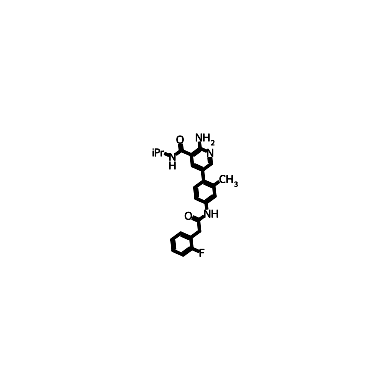 Cc1cc(NC(=O)Cc2ccccc2F)ccc1-c1cnc(N)c(C(=O)NC(C)C)c1